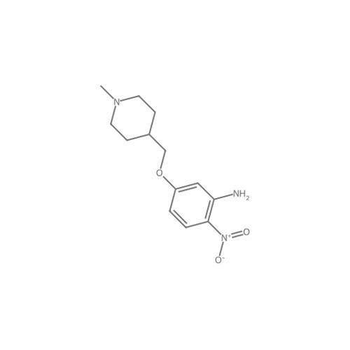 CN1CCC(COc2ccc([N+](=O)[O-])c(N)c2)CC1